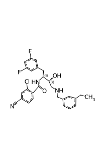 CCc1cccc(CNC[C@H](O)[C@H](Cc2cc(F)cc(F)c2)NC(=O)c2ccc(C#N)cc2Cl)c1